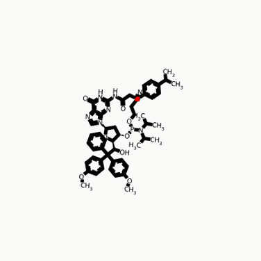 COc1ccc(C(c2ccccc2)(c2ccc(OC)cc2)C(O)[C@H]2O[C@@H](n3cnc4c(=O)[nH]c(NC(=O)COc5ccc(C(C)C)cc5)nc43)C[C@@H]2OP(OCCC#N)N(C(C)C)C(C)C)cc1